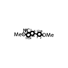 COc1ccc(-c2ccc3c(C#N)c(OC)ccc3c2)cc1